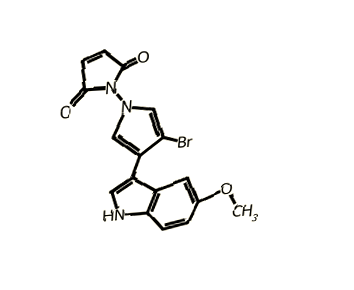 COc1ccc2[nH]cc(-c3cn(N4C(=O)C=CC4=O)cc3Br)c2c1